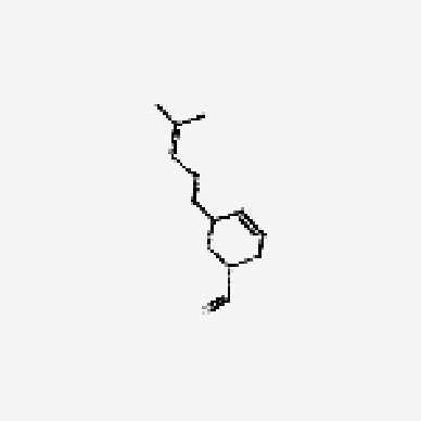 CC(C)=CCCC1C=CCC(C=O)C1